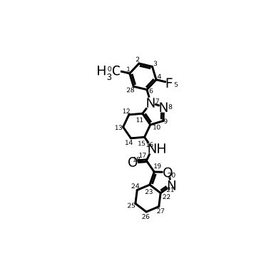 Cc1ccc(F)c(-n2ncc3c2CCCC3NC(=O)c2onc3c2CCCC3)c1